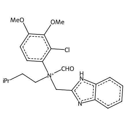 COc1ccc([N+](C=O)(CCC(C)C)Cc2nc3ccccc3[nH]2)c(Cl)c1OC